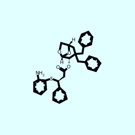 Nc1ccccc1S[C@@H](CC(=O)O[C@@H]1[C@@H]2OC[C@H](CC1(Cc1ccccc1)Cc1ccccc1)O2)c1ccccc1